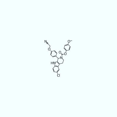 COc1ccc(OC(=O)N2CCc3c([nH]c4ccc(Cl)cc34)C2c2ccc(OCC#N)cc2)cc1